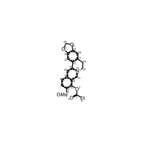 CCC(=O)Oc1c(OC)ccc2cc3[n+](cc12)CCc1cc2c(cc1-3)OCO2